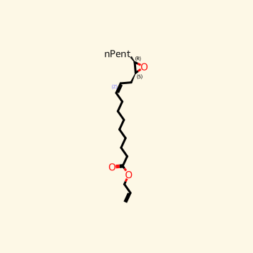 C=CCOC(=O)CCCCCCC/C=C\C[C@@H]1O[C@@H]1CCCCC